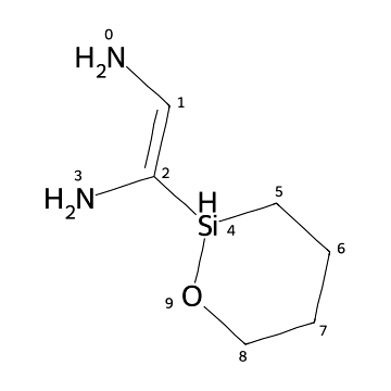 N/C=C(\N)[SiH]1CCCCO1